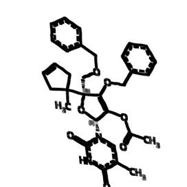 CC(=O)OC1=C(OCc2ccccc2)[C@](COCc2ccccc2)(C2(C)CC=CC2)O[C@H]1n1cc(C)c(=O)[nH]c1=O